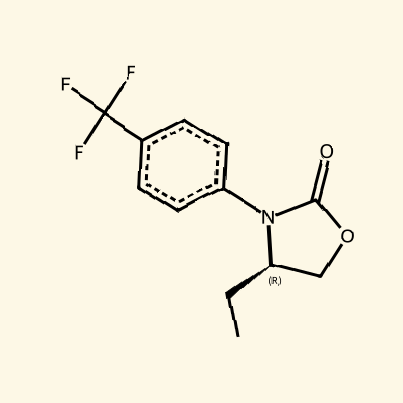 CC[C@@H]1COC(=O)N1c1ccc(C(F)(F)F)cc1